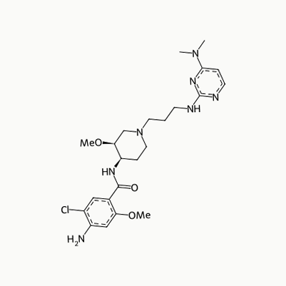 COc1cc(N)c(Cl)cc1C(=O)N[C@@H]1CCN(CCCNc2nccc(N(C)C)n2)C[C@@H]1OC